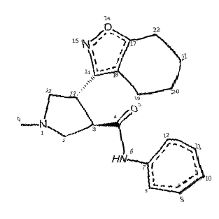 CN1C[C@H](C(=O)Nc2ccccc2)[C@@H](c2noc3c2CCCC3)C1